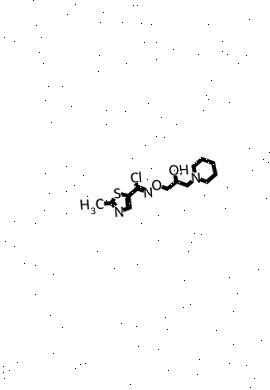 Cc1ncc(C(Cl)=NOCC(O)CN2CCCCC2)s1